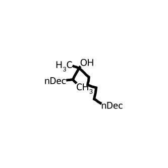 CCCCCCCCCCCCCCC(C)(O)C(C)CCCCCCCCCC